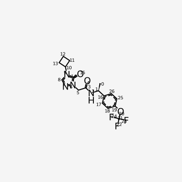 C[C@H](NC(=O)Cn1ncn(C2CCC2)c1=O)c1ccc(OC(F)(F)F)cc1